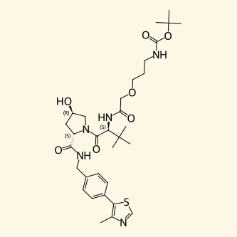 Cc1ncsc1-c1ccc(CNC(=O)[C@@H]2C[C@@H](O)CN2C(=O)[C@@H](NC(=O)COCCCNC(=O)OC(C)(C)C)C(C)(C)C)cc1